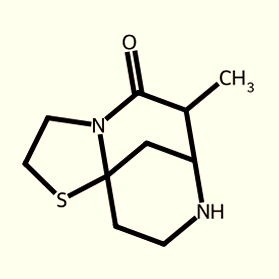 CC1C(=O)N2CCSC23CCNC1C3